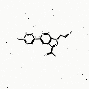 CC(=O)c1nn(CC=O)c2cnc(-c3cnc(C)nc3)cc12